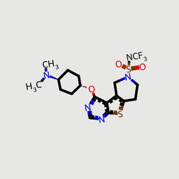 CN(C)[C@H]1CC[C@H](Oc2ncnc3sc4c(c23)CN(S(=O)(=O)NC(F)(F)F)CC4)CC1